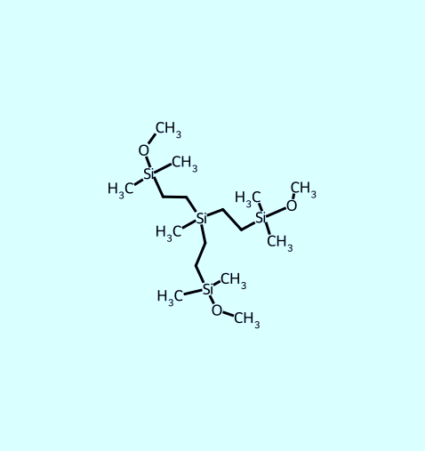 CO[Si](C)(C)CC[Si](C)(CC[Si](C)(C)OC)CC[Si](C)(C)OC